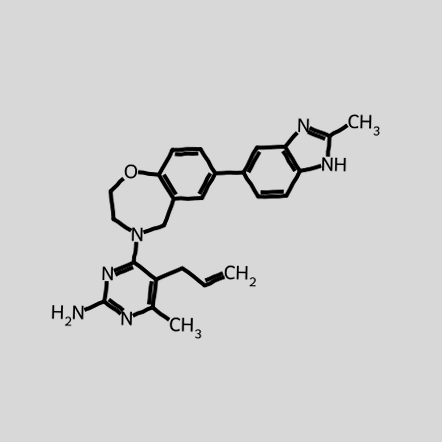 C=CCc1c(C)nc(N)nc1N1CCOc2ccc(-c3ccc4[nH]c(C)nc4c3)cc2C1